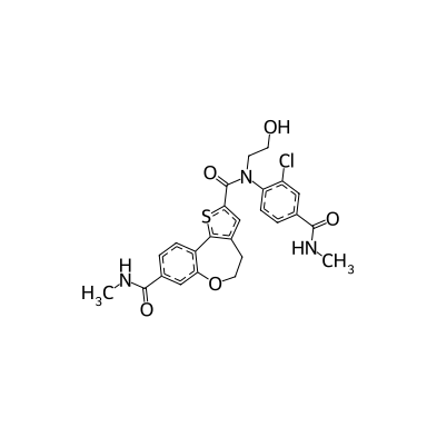 CNC(=O)c1ccc(N(CCO)C(=O)c2cc3c(s2)-c2ccc(C(=O)NC)cc2OCC3)c(Cl)c1